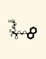 O=C(OCOc1cccc2ccccc12)C(F)(F)SOOO